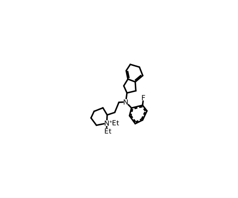 CC[N+]1(CC)CCCCC1CCN(c1ccccc1F)C1CC2=CCCC=C2C1